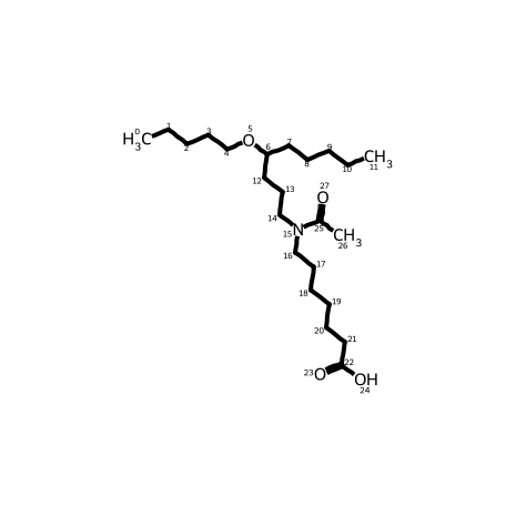 CCCCCOC(CCCCC)CCCN(CCCCCCC(=O)O)C(C)=O